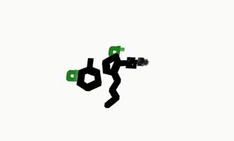 CCCCC1=[C]([Zr+2])CC=C1.Cc1ccccc1.[Cl-].[Cl-]